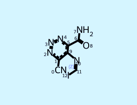 N#Cc1nnnc(C(N)=O)c1/N=C\I